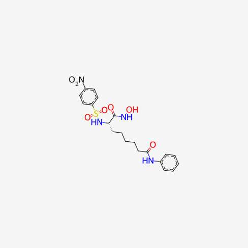 O=C(CCCCC[C@H](NS(=O)(=O)c1ccc([N+](=O)[O-])cc1)C(=O)NO)Nc1ccccc1